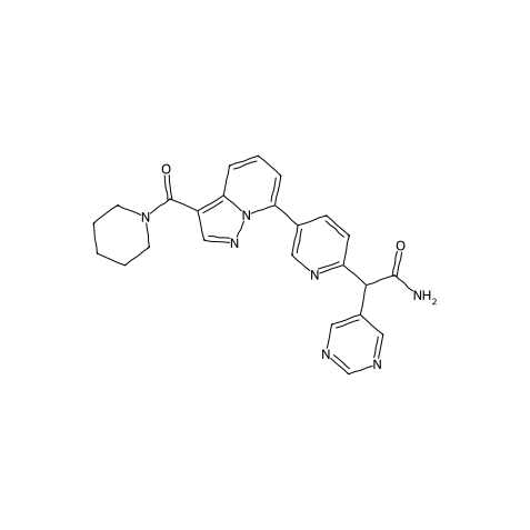 NC(=O)C(c1cncnc1)c1ccc(-c2cccc3c(C(=O)N4CCCCC4)cnn23)cn1